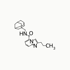 CCCc1cn2c(C(=O)NCC34CC5CC(CC(C5)C3)C4)cccc2n1